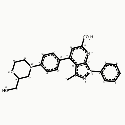 Cc1nn(-c2ccccc2)c2nc(C(=O)O)cc(-c3ccc(N4CCOC(CO)C4)cc3)c12